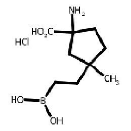 CC1(CCB(O)O)CCC(N)(C(=O)O)C1.Cl